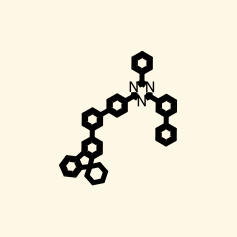 c1ccc(-c2cccc(-c3nc(-c4ccccc4)nc(-c4ccc(-c5cccc(-c6ccc7c(c6)-c6ccccc6C76CCCCC6)c5)cc4)n3)c2)cc1